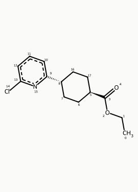 CCOC(=O)[C@H]1CC[C@H](c2cccc(Cl)n2)CC1